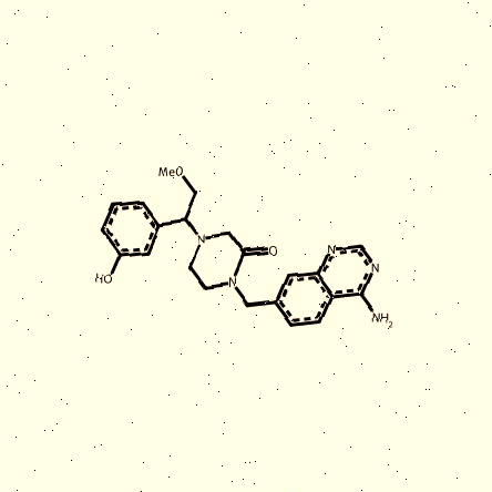 COCC(c1cccc(O)c1)N1CCN(Cc2ccc3c(N)ncnc3c2)C(=O)C1